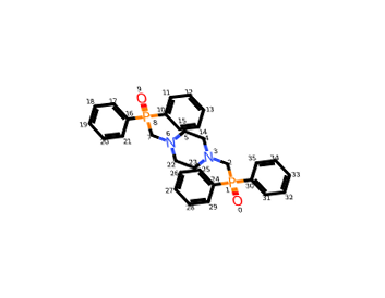 O=P(CN1CCN(CP(=O)(c2ccccc2)c2ccccc2)CC1)(c1ccccc1)c1ccccc1